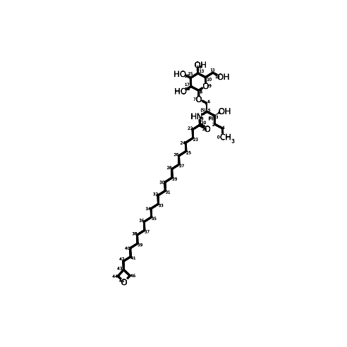 CCC[C@@H](O)[C@H](COC1OC(CO)C(O)C(O)C1O)NC(=O)CCCCCCCCCCCCCCCCCCCCCC1COC1